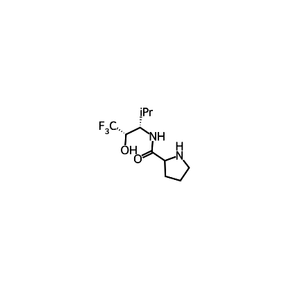 CC(C)[C@H](NC(=O)C1CCCN1)[C@H](O)C(F)(F)F